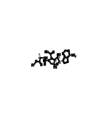 CC(C)OC(=O)[C@H](C)N[PH](=O)OC[C@@]1(C#N)O[C@@H](c2ccc3c(N)ncnn23)[C@H](O)[C@@H]1OC(=O)C(C)(C)C